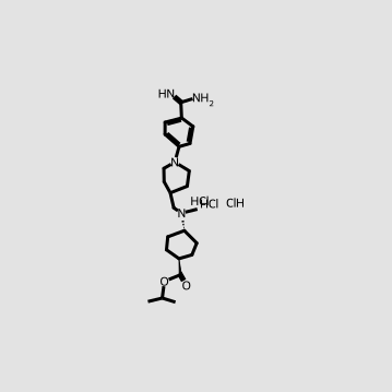 CC(C)OC(=O)[C@H]1CC[C@H](N(C)CC2CCN(c3ccc(C(=N)N)cc3)CC2)CC1.Cl.Cl.Cl